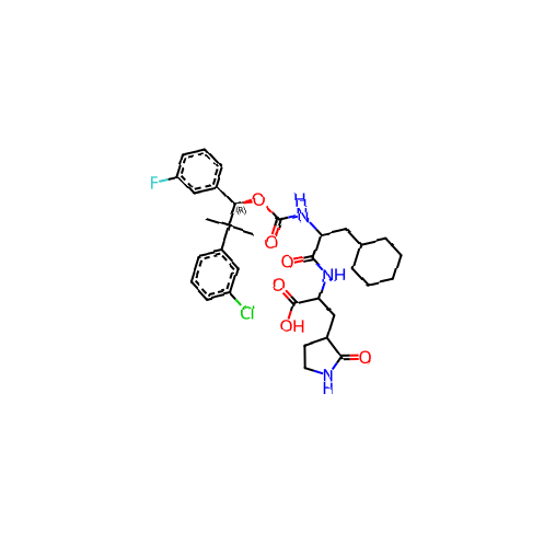 CC(C)(c1cccc(Cl)c1)[C@H](OC(=O)NC(CC1CCCCC1)C(=O)NC(CC1CCNC1=O)C(=O)O)c1cccc(F)c1